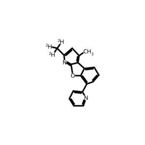 [2H]C([2H])([2H])c1cc(C)c2c(n1)oc1c(-c3ccccn3)cccc12